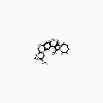 C=C(C)CN1C(=O)COc2cc(F)c(-c3c(Cl)n4n(c3=O)CCCCC4)cc21